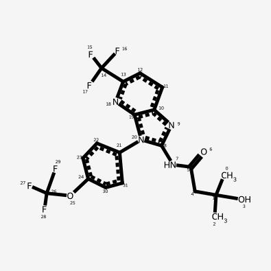 CC(C)(O)CC(=O)Nc1nc2ccc(C(F)(F)F)nc2n1-c1ccc(OC(F)(F)F)cc1